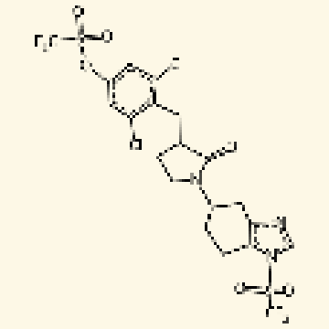 O=C1C(Cc2c(Cl)cc(OS(=O)(=O)C(F)(F)F)cc2Cl)CCN1C1CCc2c(ncn2S(=O)(=O)C(F)(F)F)C1